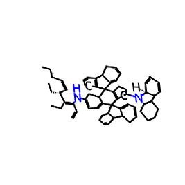 C=C/C(NC1=CC=C2C(C1)C1(C3=CC=CCC3C3=C1CCC=C3)C1=C(CC(N3C4CCCCC4C4C=CC=C[C@@H]43)CC1)C21C2=CC=CCC2C2C=CCCC21)=C(\CC)[C@@H](/C=C\CCC)CC